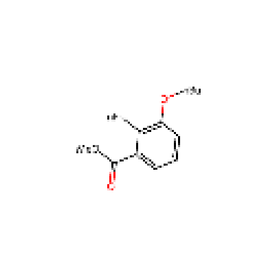 CCCCOc1cccc(C(=O)OC)c1CCC